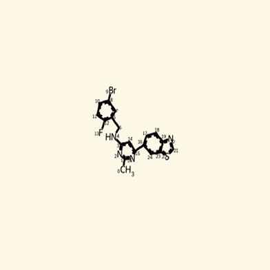 Cc1nc(NCc2cc(Br)ccc2F)cc(-c2ccc3ncsc3c2)n1